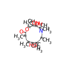 CC[C@H]1OC(=O)[C@H](C)C[C@H](C)[C@@H](C)[C@](C)(O)C[C@@H](C)CN(C)[C@H](C)[C@@H](O)[C@]1(C)O